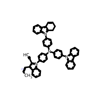 C#Cc1c(/C=C\C)c2ccccc2n1-c1ccc(N(c2ccc(-n3c4c(c5ccccc53)C=CCC4)cc2)c2ccc(-n3c4ccccc4c4ccccc43)cc2)cc1